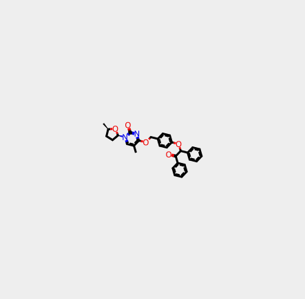 Cc1cn([C@H]2CC[C@@H](C)O2)c(=O)nc1OCc1ccc(OC(C(=O)c2ccccc2)c2ccccc2)cc1